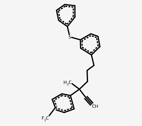 C#CC(C)(CCCc1cccc(Sc2ccccc2)c1)c1ccc(C(F)(F)F)cc1